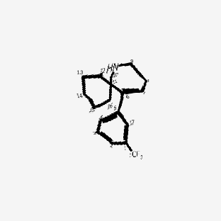 FC(F)(F)c1cccc(C2=CCCNC23CCCCC3)c1